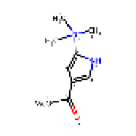 COC(=O)c1c[nH]c([N+](C)(C)C)c1